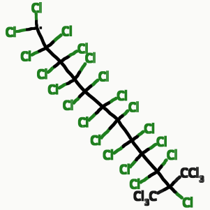 Cl[C](Cl)C(Cl)(Cl)C(Cl)(Cl)C(Cl)(Cl)C(Cl)(Cl)C(Cl)(Cl)C(Cl)(Cl)C(Cl)(Cl)C(Cl)(Cl)C(Cl)(Cl)C(Cl)(C(Cl)(Cl)Cl)C(Cl)(Cl)Cl